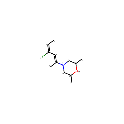 C/C=C(F)\C=C(/C)N1CC(C)OC(C)C1